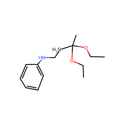 CCOC(C)(OCC)[SiH2]CNc1ccccc1